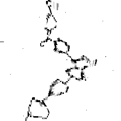 CN1CCN(c2ccc(-c3cnc4[nH]cc(-c5ccc(C(=O)N6CCC(O)CC6)cc5)c4c3)cc2)CC1